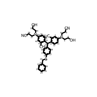 Cc1cc(N(CCO)CCC#N)ccc1C(c1ccc(SCc2ccccc2)cc1)c1ccc(N(CCO)CCC#N)cc1C